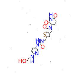 O=C1CCC(N2Cc3cc(CNC(=O)Nc4ccc(NCCO)nc4)sc3C2=O)C(=O)N1